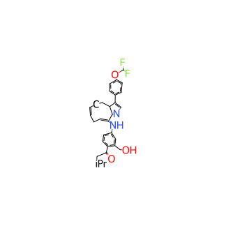 CC(C)CC(=O)c1ccc(N/C2=C\C/C=C\CCC3C(c4ccc(OC(F)F)cc4)=CN=C23)cc1CO